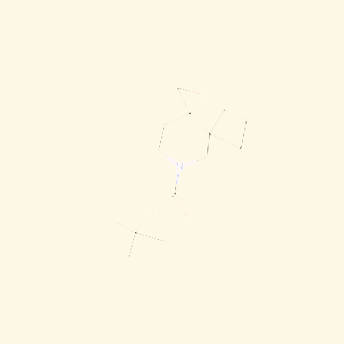 CC(C)(C)OC(=O)N1CCC2(CO2)C2(CCC2)C1